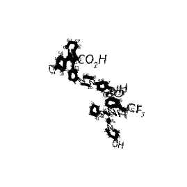 O=C(O)c1c(-c2cccc(N3CCN(c4ccc(NS(=O)(=O)c5ccc(N[C@H](CCN6CCC(O)CC6)CSc6ccccc6)c(CC(F)(F)F)c5)cc4)CC3)c2)c(-c2ccc(Cl)cc2)n2c1CCCC2